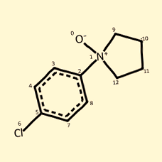 [O-][N+]1(c2ccc(Cl)cc2)C[CH]CC1